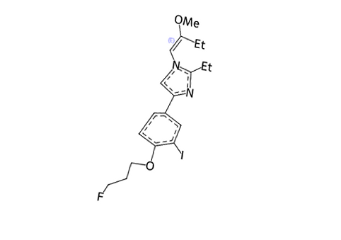 CC/C(=C\n1cc(-c2ccc(OCCCF)c(I)c2)nc1CC)OC